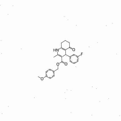 COc1ccc(COC(=O)C2=C(C)NC3=C(C(=O)CCC3)C2c2cccc(F)c2)cc1